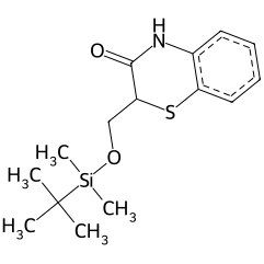 CC(C)(C)[Si](C)(C)OCC1Sc2ccccc2NC1=O